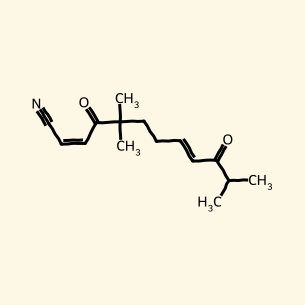 CC(C)C(=O)/C=C/CCC(C)(C)C(=O)/C=C\C#N